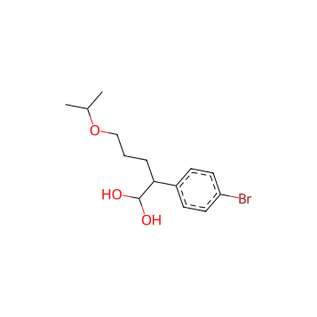 CC(C)OCCCC(c1ccc(Br)cc1)C(O)O